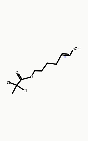 CCCCCCCC/C=C/CCCCOC(=O)C(C)(Cl)Cl